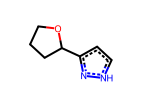 c1cc(C2CCCO2)n[nH]1